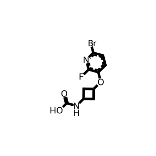 O=C(O)NC1CC(Oc2ccc(Br)nc2F)C1